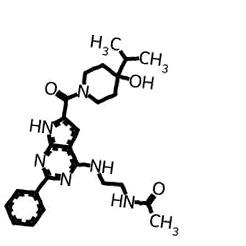 CC(=O)NCCNc1nc(-c2ccccc2)nc2[nH]c(C(=O)N3CCC(O)(C(C)C)CC3)cc12